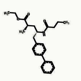 CCCC(=O)N[C@H](Cc1ccc(-c2ccccc2)cc1)C[C@@H](C)C(=O)OCC